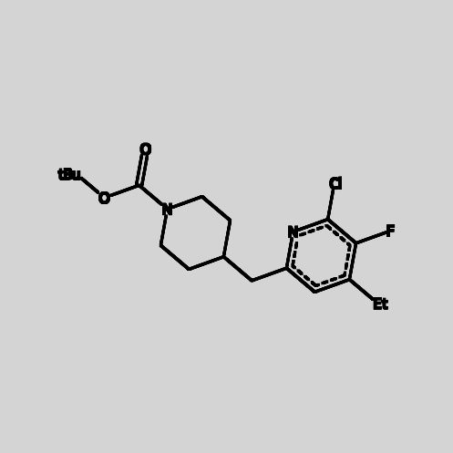 CCc1cc(CC2CCN(C(=O)OC(C)(C)C)CC2)nc(Cl)c1F